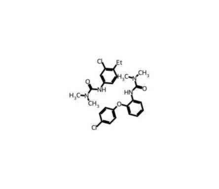 CCc1ccc(NC(=O)N(C)C)cc1Cl.CN(C)C(=O)Nc1ccccc1Oc1ccc(Cl)cc1